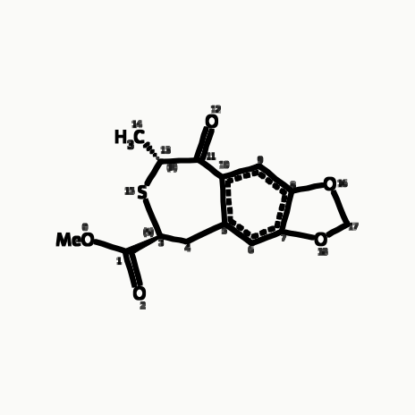 COC(=O)[C@@H]1Cc2cc3c(cc2C(=O)[C@@H](C)S1)OCO3